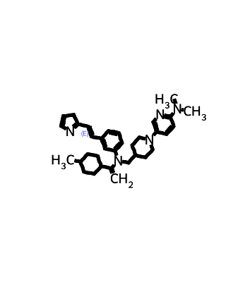 C=C(C1CCC(C)CC1)N(CC1CCN(c2ccc(N(C)C)nc2)CC1)c1cccc(/C=C/C2=NC=CC2)c1